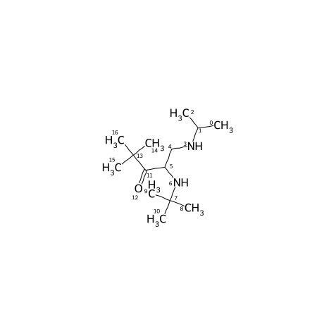 CC(C)NCC(NC(C)(C)C)C(=O)C(C)(C)C